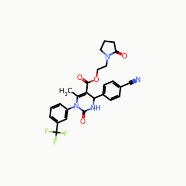 CC1=C(C(=O)OCCN2CCCC2=O)C(c2ccc(C#N)cc2)NC(=O)N1c1cccc(C(F)(F)F)c1